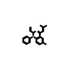 C=CC(C)N(c1ccccc1)c1ccc(C)cc1C(=C)C=C(C)C